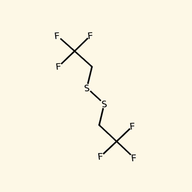 FC(F)(F)CSSCC(F)(F)F